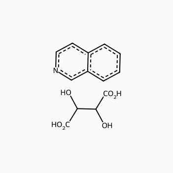 O=C(O)C(O)C(O)C(=O)O.c1ccc2cnccc2c1